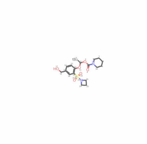 CC(C)(C)C(OC(=O)N1CCCCC1)Oc1ccc(CO)cc1S(=O)(=O)N1CCC1